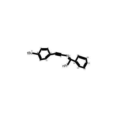 CCC/C(=N\C#Cc1ccc(C(C)(C)C)cc1)c1ccccc1